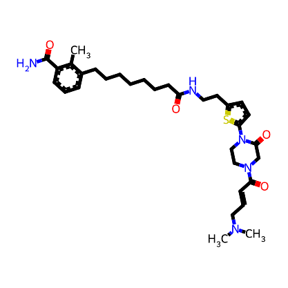 Cc1c(CCCCCCCC(=O)NCCc2ccc(N3CCN(C(=O)C=CCN(C)C)CC3=O)s2)cccc1C(N)=O